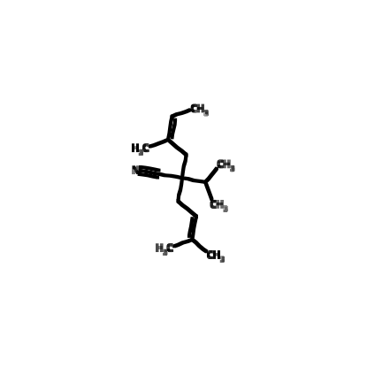 CC=C(C)CC(C#N)(CC=C(C)C)C(C)C